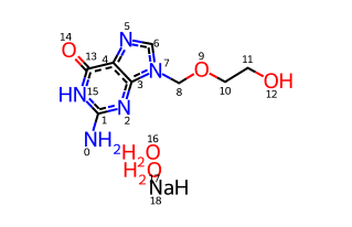 Nc1nc2c(ncn2COCCO)c(=O)[nH]1.O.O.[NaH]